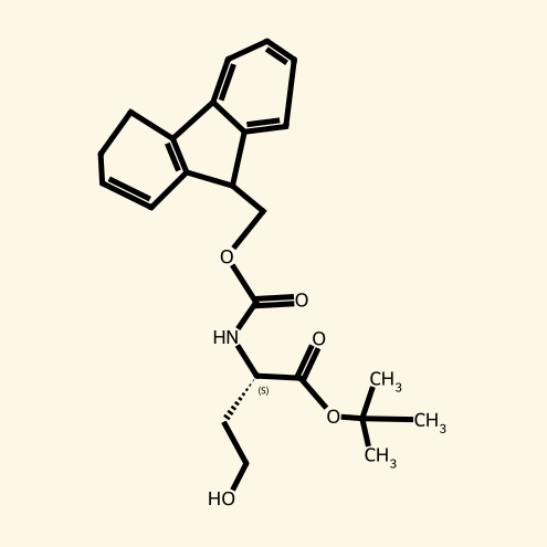 CC(C)(C)OC(=O)[C@H](CCO)NC(=O)OCC1C2=C(CCC=C2)c2ccccc21